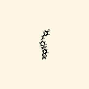 O=S(=O)(c1ccc(OC(F)(F)F)cc1)N1CCC(=NOCc2ccc(Cl)cn2)CC1